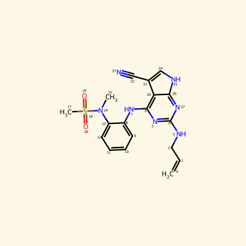 C=CCNc1nc(Nc2ccccc2N(C)S(C)(=O)=O)c2c(C#N)c[nH]c2n1